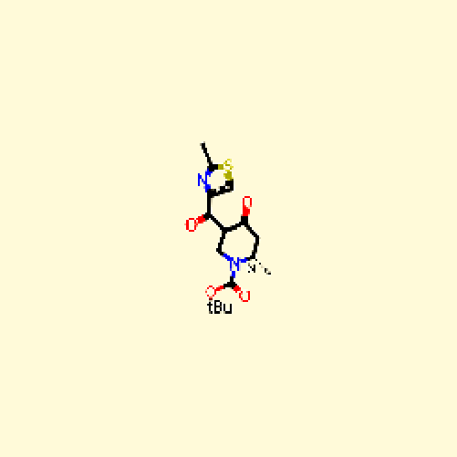 Cc1nc(C(=O)C2CN(C(=O)OC(C)(C)C)[C@@H](C)CC2=O)cs1